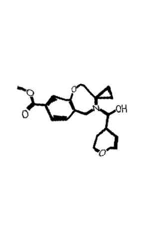 COC(=O)c1ccc2c(c1)OCC1(CC1)N(C(O)C1CCOCC1)C2